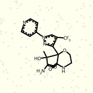 CC(O)(C(N)=O)C1(c2nn(-c3ccncc3)cc2C(F)(F)F)OCCNC1=O